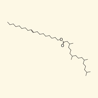 CCCCCCCC/C=C/CCCCCCCCOC(=O)CC(C)CCCC(C)CCCC(C)CCCC(C)C